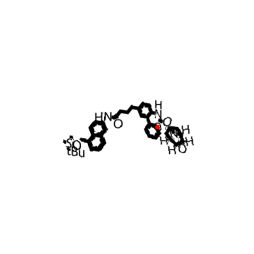 CN1[C@@H]2C[C@@H](OC(=O)Nc3ccc(CCCC(=O)Nc4ccc5c(CO[Si](C)(C)C(C)(C)C)cccc5c4)cc3-c3ccccc3)C[C@H]1[C@@H]1O[C@@H]12